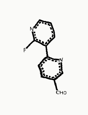 O=Cc1ccc(-c2cccnc2F)nc1